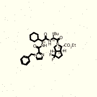 CCOC(=O)[C@@H]1[C@H]2CCC(F)(F)[C@H]2CN1C(=O)[C@@H](NC(=O)[C@@H](NC(=O)c1nccn1Cc1ccccc1)C1CCCCC1)C(C)(C)C